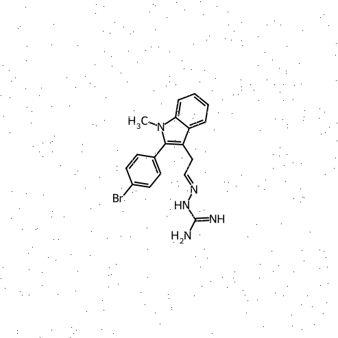 Cn1c(-c2ccc(Br)cc2)c(CC=NNC(=N)N)c2ccccc21